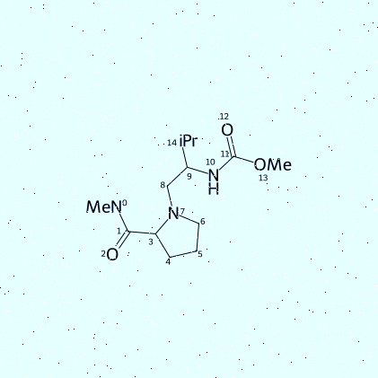 CNC(=O)C1CCCN1CC(NC(=O)OC)C(C)C